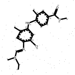 CCN(C)C=Nc1cc(C)c(Nc2ccc(C(=O)OC)cc2C)cc1Cl